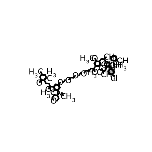 CCN(c1cc(OCCOCCOCCOCCCC(=O)c2ccc(CC(C)C3OC(CC(C)(C)C)[C@](O)(c4ccc(Cl)cc4F)[C@H]3c3cccc(O)c3C)c(OC)c2)cc(C(=O)CCC2=C(C)C=C(C)CC2=O)c1C)C1CCOCC1